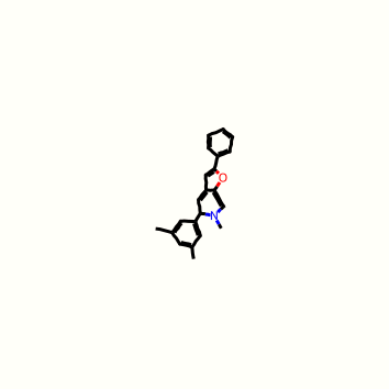 Cc1cc(C)cc(C2C=c3cc(-c4ccccc4)oc3=CN2C)c1